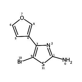 Nc1nc(-c2ccoc2)c(Br)s1